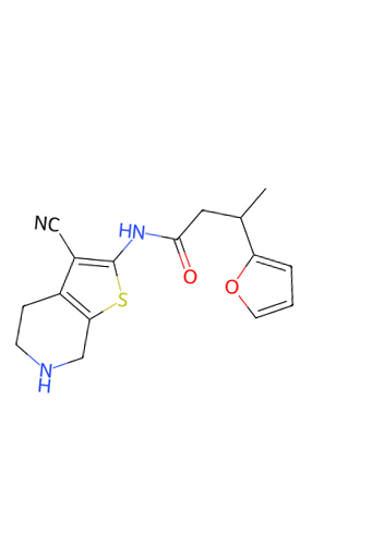 CC(CC(=O)Nc1sc2c(c1C#N)CCNC2)c1ccco1